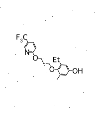 CCc1cc(O)cc(C)c1OCCCOc1ccc(C(F)(F)F)cn1